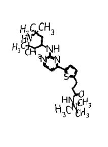 CC1(C)CC(Nc2nccc(-c3ccc(CCC(=O)N[N+](C)(C)C)s3)n2)CC(C)(C)N1